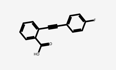 O=C(O)c1ccccc1C#Cc1ccc(F)cc1